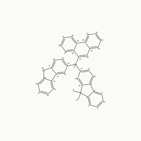 CC1(C)c2ccccc2-c2ccc(N(c3ccc4oc5ccccc5c4c3)c3cc4ccccc4c4ccccc34)cc21